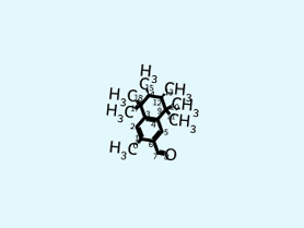 Cc1cc2c(cc1C=O)C(C)(C)[C@H](C)[C@@H](C)C2(C)C